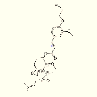 COc1cc(/C=C/C(=O)O[C@@H]2CC[C@]3(CO3)[C@@H]([C@@]3(C)O[C@@H]3CC=C(C)C)[C@@H]2OC)ccc1OCCO